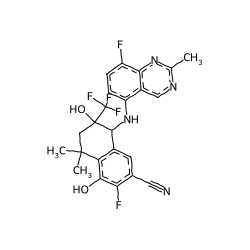 Cc1ncc2c(NC3c4cc(C#N)c(F)c(O)c4C(C)(C)CC3(O)C(F)(F)F)ccc(F)c2n1